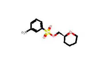 O=[N+]([O-])c1cccc(S(=O)(=O)OC[C@@H]2CCCCO2)c1